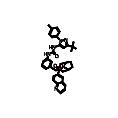 Cc1ccc(-n2nc(C(C)(C)C)cc2NC(=O)Nc2cccc(CC3CC4CCC(C3)N4C(=O)c3ccc4ncccc4c3)c2)cc1